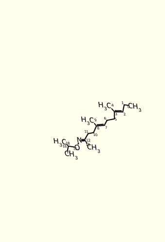 CC/C=C(\C)CC/C=C(\C)CC/C(C)=N/OC(C)C